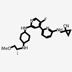 COC[C@@H](C)NC1CCC(Nc2cc(-c3cccc(NCC4(C#N)CC4)n3)c(F)cn2)CC1